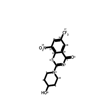 O=c1nc(N2CCC(O)CC2)sc2c([N+](=O)[O-])cc(C(F)(F)F)cc12